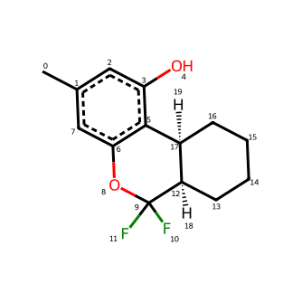 Cc1cc(O)c2c(c1)OC(F)(F)[C@@H]1CCCC[C@H]21